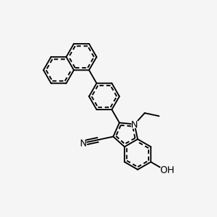 CCn1c(-c2ccc(-c3cccc4ccccc34)cc2)c(C#N)c2ccc(O)cc21